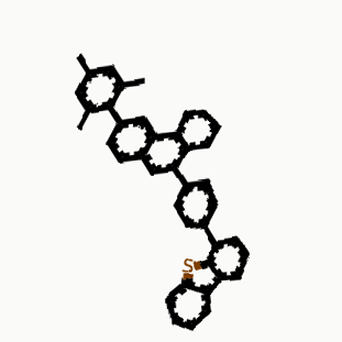 Cc1cc(C)c(-c2ccc3cc(-c4ccc(-c5cccc6c5sc5ccccc56)cc4)c4ccccc4c3c2)c(C)c1